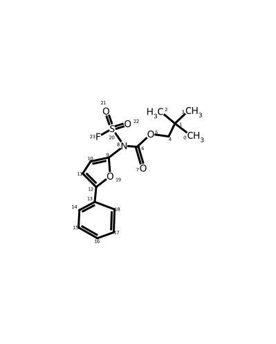 CC(C)(C)COC(=O)N(c1ccc(-c2ccccc2)o1)S(=O)(=O)F